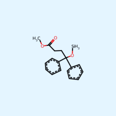 COC(=O)CCC(O[SiH3])(c1ccccc1)c1ccccc1